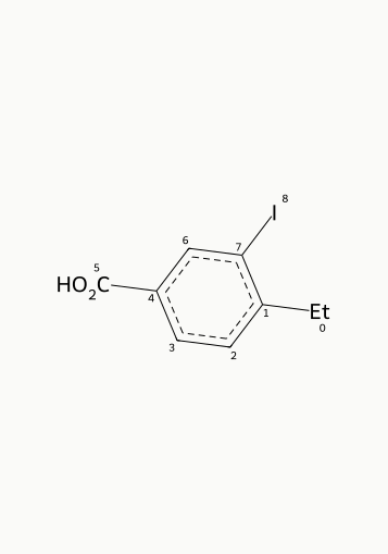 CCc1ccc(C(=O)O)cc1I